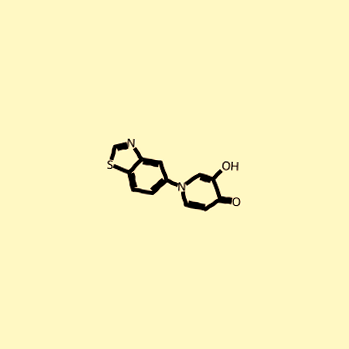 O=c1ccn(-c2ccc3scnc3c2)cc1O